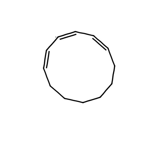 [C]1=CC=CCCCCCCC=C1